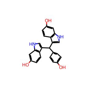 Oc1ccc(C(c2c[nH]c3cc(O)ccc23)c2c[nH]c3cc(O)ccc23)cc1